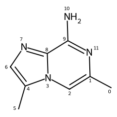 Cc1cn2c(C)cnc2c(N)n1